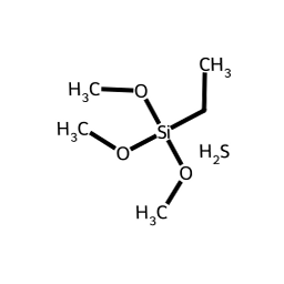 CC[Si](OC)(OC)OC.S